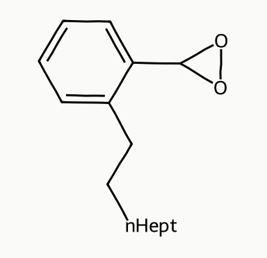 CCCCCCCCCc1ccccc1C1OO1